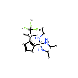 CC[NH][Zr]([NH]CC)([NH]CC)[C]1=[C]([Ge]([CH3])([CH3])[C](F)(F)F)C=CC1